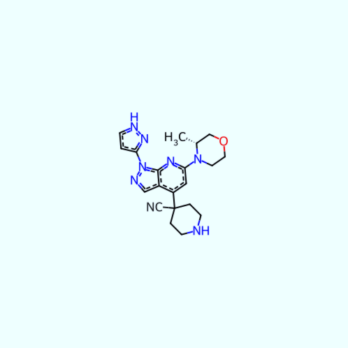 C[C@@H]1COCCN1c1cc(C2(C#N)CCNCC2)c2cnn(-c3cc[nH]n3)c2n1